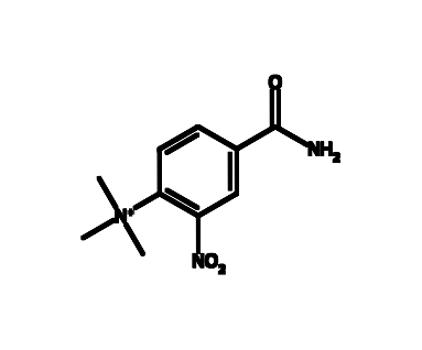 C[N+](C)(C)c1ccc(C(N)=O)cc1[N+](=O)[O-]